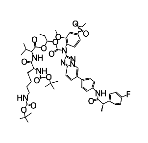 CCC(OC(=O)[C@@H](NC(=O)[C@H](CCCCNC(=O)OC(C)(C)C)NC(=O)OC(C)(C)C)C(C)C)OC(=O)N(c1nc2ccc(-c3ccc(NC(=O)[C@H](C)c4ccc(F)cc4)cc3)cn2n1)c1ccc(S(C)(=O)=O)cc1OC